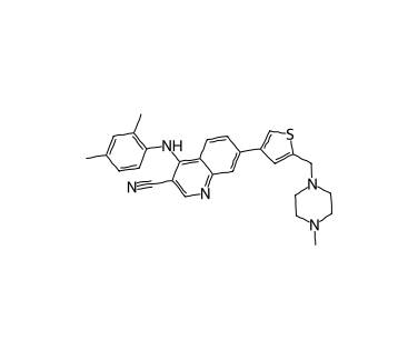 Cc1ccc(Nc2c(C#N)cnc3cc(-c4csc(CN5CCN(C)CC5)c4)ccc23)c(C)c1